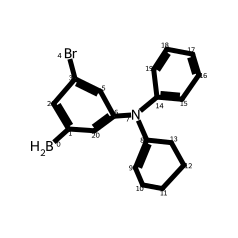 Bc1cc(Br)cc(N(C2=CCCCC2)c2ccccc2)c1